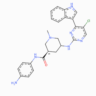 CN1CC(Nc2ncc(Cl)c(-c3c[nH]c4ccccc34)n2)C[C@@H](C(=O)Nc2ccc(N)cc2)C1